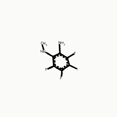 CNc1c(N)c(F)c(I)c(F)c1F